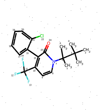 CC(C)(C)C(C)(C)n1ccc(C(F)(F)F)c(-c2ccccc2Cl)c1=O